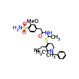 COc1cc(CC(=O)NC(C)SC2=C(CC#N)C(C)(C)N(Cc3ccccc3)CC2)ccc1S(N)(=O)=O